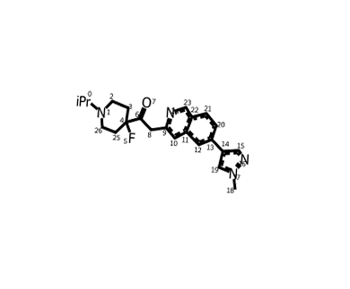 CC(C)N1CCC(F)(C(=O)Cc2cc3cc(-c4cnn(C)c4)ccc3cn2)CC1